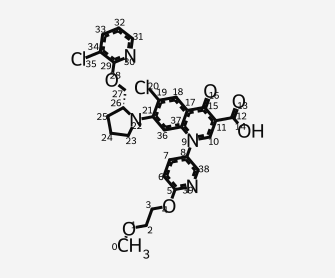 COCCOc1ccc(-n2cc(C(=O)O)c(=O)c3cc(Cl)c(N4CCC[C@@H]4COc4ncccc4Cl)cc32)cn1